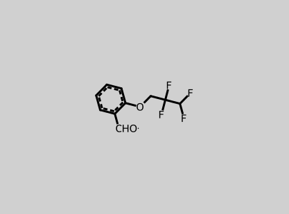 O=[C]c1ccccc1OCC(F)(F)C(F)F